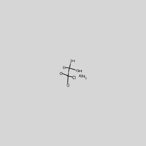 OC(O)(Cl)C(Cl)(Cl)Cl.[AlH3]